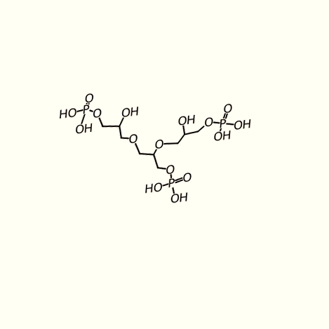 O=P(O)(O)OCC(O)COCC(COP(=O)(O)O)OCC(O)COP(=O)(O)O